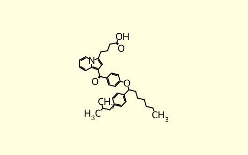 CCCCCCC(Oc1ccc(C(=O)c2cc(CCCC(=O)O)n3ccccc23)cc1)c1ccc(CC(C)C)cc1